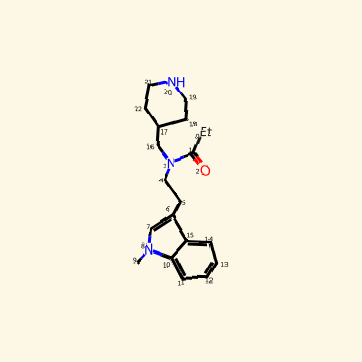 CCC(=O)N(CCc1cn(C)c2ccccc12)CC1CCNCC1